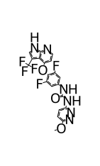 COc1ccc(NC(=O)Nc2cc(F)c(Oc3ccnc4[nH]cc(C(F)(F)F)c34)c(F)c2)nn1